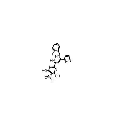 N=C(/C=C(\NCc1ccccc1F)c1ccon1)c1nc(O)c([N+](=O)[O-])c(O)n1